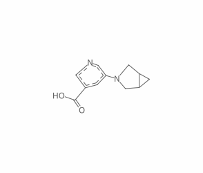 O=C(O)c1cncc(N2CC3CC3C2)c1